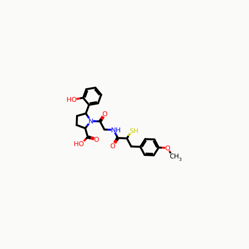 COc1ccc(CC(S)C(=O)NCC(=O)N2C(C(=O)O)CCC2c2ccccc2O)cc1